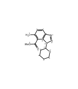 COC(=O)c1c(C)ccc2nnn(C3CCCCO3)c12